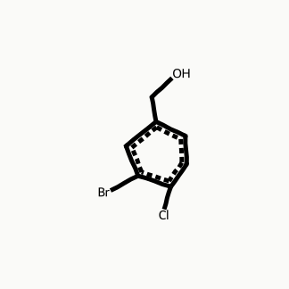 OCc1ccc(Cl)c(Br)c1